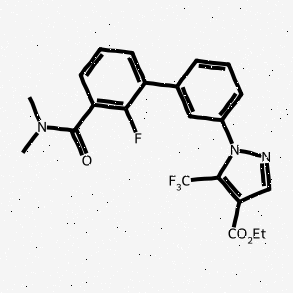 CCOC(=O)c1cnn(-c2cccc(-c3cccc(C(=O)N(C)C)c3F)c2)c1C(F)(F)F